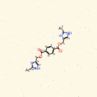 CC(=O)c1nc(COC(=O)c2ccc(C(=O)OCc3c[nH]c(C(C)=O)n3)cc2)c[nH]1